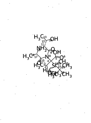 CCC(C)C(C(=O)O)(N(C(=O)CC(C)O)C(=O)C(C)N)[Si](C)(C)C(C)(C)C